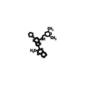 Cc1nc2ccccc2nc1-c1cc2nc(N3CCCC3)cc(NCC3C[C@@H](C)O[C@@H](C)C3)n2n1